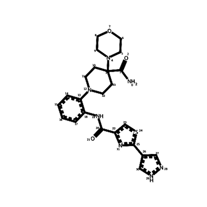 NC(=O)C1(N2CCOCC2)CCN(c2ccccc2NC(=O)c2csc(-c3cn[nH]c3)n2)CC1